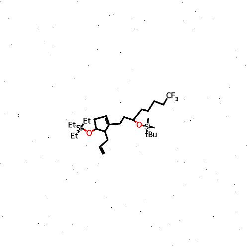 C=CCC1C(CCC(CCCCC(F)(F)F)O[Si](C)(C)C(C)(C)C)=CCC1O[Si](CC)(CC)CC